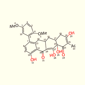 COc1ccc(OC)c(-c2ccc(O)c3c2CC2CC4CC(O)=C(C(C)=O)C(=O)C4(O)C(O)=C2C3=O)c1